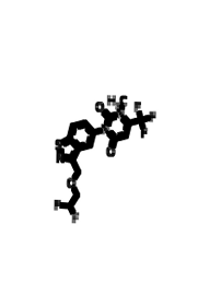 Cn1c(C(F)(F)F)cc(=O)n(-c2ccc3snc(COCC(F)F)c3c2)c1=O